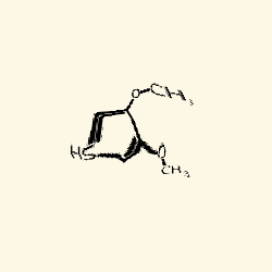 COC1=C=[SH]C=C1OC